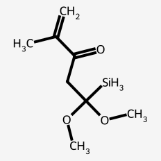 C=C(C)C(=O)CC([SiH3])(OC)OC